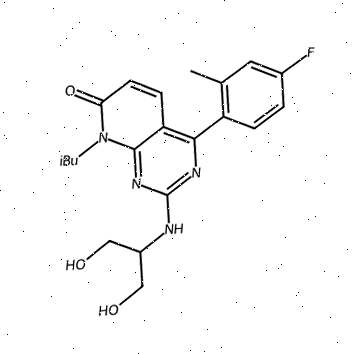 CCC(C)n1c(=O)ccc2c(-c3ccc(F)cc3C)nc(NC(CO)CO)nc21